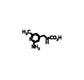 Cc1cc(CNC(=O)O)cc(N)n1